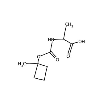 CC(NC(=O)OC1(C)CCC1)C(=O)O